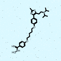 Cc1nc(-c2ccc(OCCCCCOc3ccc(C(=N)NO)cc3)cc2)c(CCN(C(C)C)C(C)C)s1